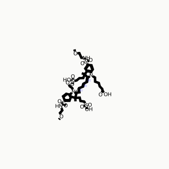 COCCNS(=O)(=O)c1ccc2c(c1)C(C)(CCCS(=O)(=O)O)C(/C=C/C=C/C=C1/N(CCCCCC(=O)O)c3ccc(S(=O)(=O)NCCOC)cc3C1(C)CCCS(=O)(=O)O)=[N+]2CCOC